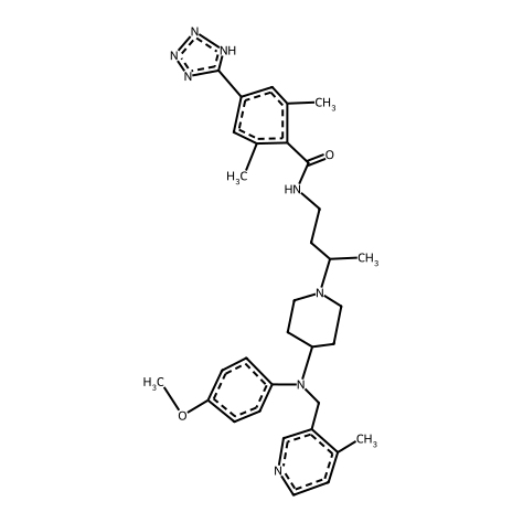 COc1ccc(N(Cc2cnccc2C)C2CCN(C(C)CCNC(=O)c3c(C)cc(-c4nnn[nH]4)cc3C)CC2)cc1